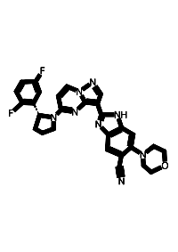 N#Cc1cc2nc(-c3cnn4ccc(N5CCC[C@@H]5c5cc(F)ccc5F)nc34)[nH]c2cc1N1CCOCC1